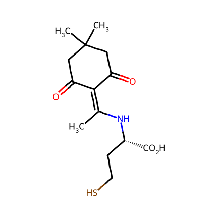 CC(N[C@@H](CCS)C(=O)O)=C1C(=O)CC(C)(C)CC1=O